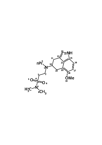 CCCN(CCS(=O)(=O)N(C)C)C1Cc2c[nH]c3ccc(OC)c(c23)C1